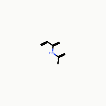 C=CC(=C)NC(=C)C